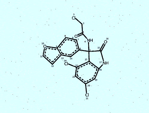 O=C(CCl)NC1(c2ccc3occc3c2)C(=O)Nc2cc(Cl)cc(Cl)c21